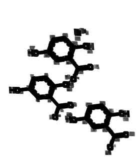 O=C([O-])c1cc(O)ccc1O.O=C([O-])c1cc(O)ccc1O.O=C([O-])c1cc(O)ccc1O.[Bi+3]